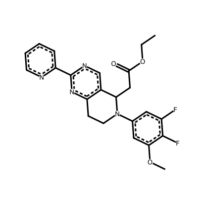 CCOC(=O)CC1c2cnc(-c3ccccn3)nc2CCN1c1cc(F)c(F)c(OC)c1